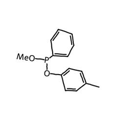 COP(Oc1ccc(C)cc1)c1ccccc1